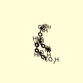 CC(C)(C)OC(=O)NC[C@H]1CC[C@H](C(=O)N[C@@H](Cc2ccc(-c3cccc(C(=O)NC4CCN(C(=O)O)CC4)c3)cc2)C(=O)Nc2ccc(-c3nn[nH]n3)cc2)CC1